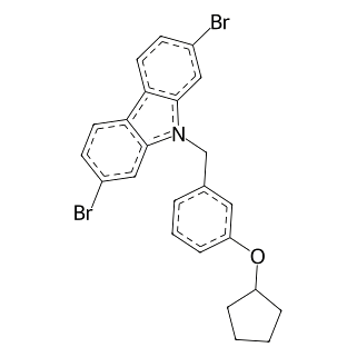 Brc1ccc2c3ccc(Br)cc3n(Cc3cccc(OC4CCCC4)c3)c2c1